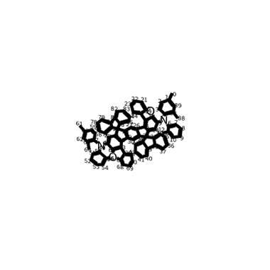 Cc1ccc(N(c2ccccc2C)c2cc3c(c4c2oc2ccccc24)-c2cc4c(cc2C32c3ccccc3-c3ccccc32)-c2c(cc(N(c3ccccc3C)c3ccc(C)cc3C)c3oc5ccccc5c23)C42c3ccccc3-c3ccccc32)c(C)c1